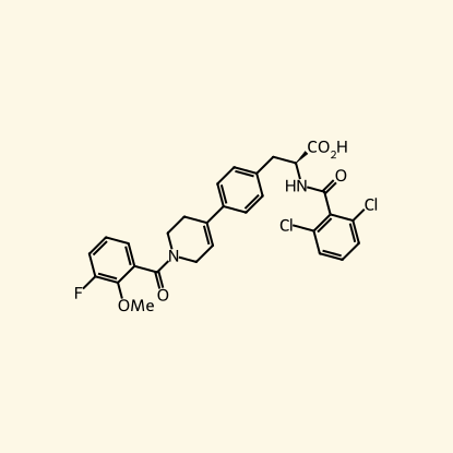 COc1c(F)cccc1C(=O)N1CC=C(c2ccc(C[C@H](NC(=O)c3c(Cl)cccc3Cl)C(=O)O)cc2)CC1